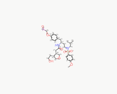 COc1ccc(S(=O)(=O)N(CC[C@H](Cc2ccc(OCP=O)cc2)NC(=O)C[C@H]2COC[C@H]2CCO)CC(C)C)cc1